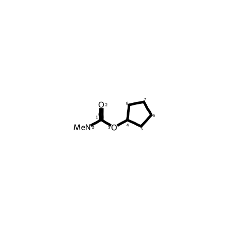 [CH2]NC(=O)OC1CCCC1